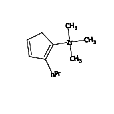 CCCC1=[C]([Zr]([CH3])([CH3])[CH3])CC=C1